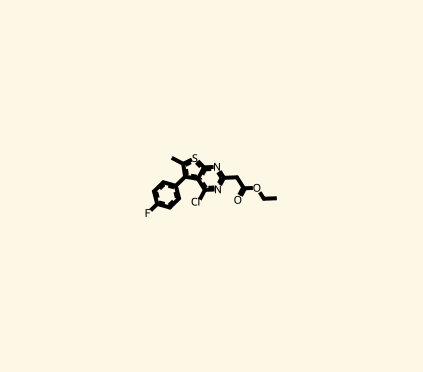 CCOC(=O)Cc1nc(Cl)c2c(-c3ccc(F)cc3)c(C)sc2n1